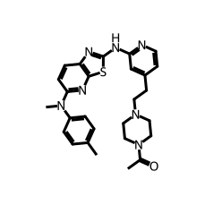 CC(=O)N1CCN(CCc2ccnc(Nc3nc4ccc(N(C)c5ccc(C)cc5)nc4s3)c2)CC1